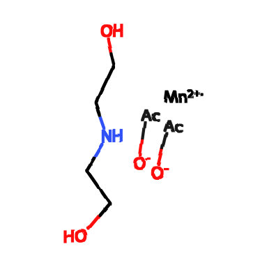 CC(=O)[O-].CC(=O)[O-].OCCNCCO.[Mn+2]